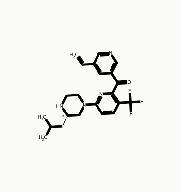 C=Cc1cncc(C(=O)c2nc(N3CCN[C@@H](CC(C)C)C3)ccc2C(F)(F)F)c1